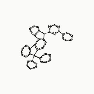 c1ccc(-c2ncnc(C3c4ccccc4-c4c3ccc3c4-c4ccccc4C3(c3ccccc3)c3ccccc3)n2)cc1